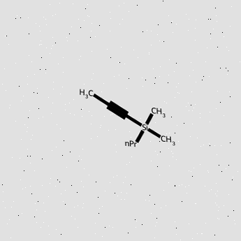 CC#C[Si](C)(C)CCC